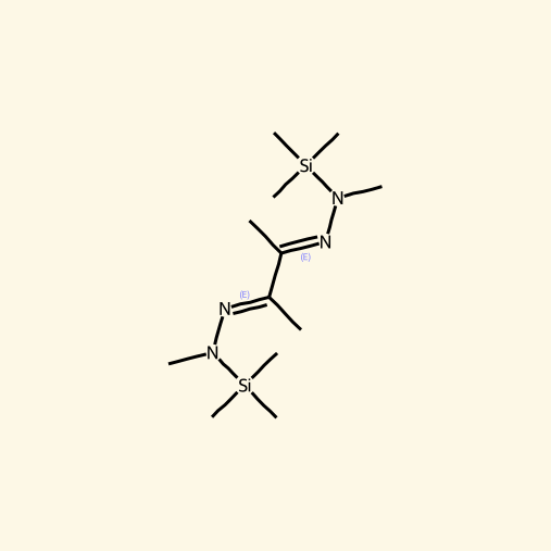 CC(=N\N(C)[Si](C)(C)C)/C(C)=N/N(C)[Si](C)(C)C